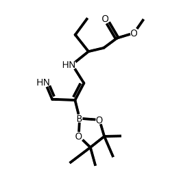 CCC(CC(=O)OC)N/C=C(\C=N)B1OC(C)(C)C(C)(C)O1